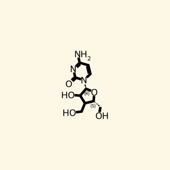 Nc1ccn([C@@H]2O[C@H](CO)C(CO)C2O)c(=O)n1